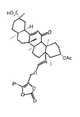 CC(=O)O[C@H]1CC[C@]2(C)C3C(=O)C=C4[C@@H]5C[C@@](C)(C(=O)O)CC[C@]5(C)CC[C@@]4(C)[C@]3(C)CC[C@@]2(/N=C/OCc2oc(=O)oc2C(C)C)[C@H]1C